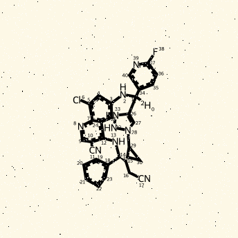 [2H]C(Nc1cc(Cl)c2ncc(C#N)c(N[C@@H](CCC#N)c3ccccc3)c2c1)(C1=CN(C2CC2)NN1)c1ccc(F)nc1